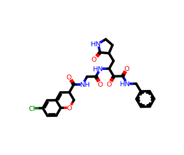 O=C(CNC(=O)C1C=C2C=C(Cl)C=CC2OC1)NC(CC1CCNC1=O)C(=O)C(=O)NCc1ccccc1